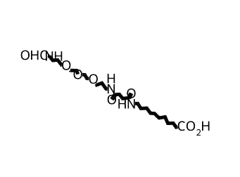 O=CNCCCOCCOCCOCCCNC(=O)CCC(=O)NCCCCCCCCCCC(=O)O